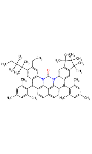 CCc1cc2c(cc1C(C)(C)C(C)(C)CC)B(c1c(C)cc(C)cc1C)c1ccc3ccc4c5c3c1N2C(=O)N5c1cc2c(cc1B4c1c(C)cc(C)cc1C)C(C)(C)C(C)(C)C2(C)C